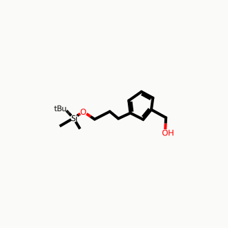 CC(C)(C)[Si](C)(C)OCCCc1cccc(CO)c1